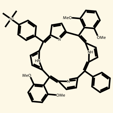 COc1cccc(OC)c1-c1c2nc(c(-c3ccc([N+](C)(C)C)cc3)c3ccc([nH]3)c(-c3c(OC)cccc3OC)c3nc(c(-c4ccccc4)c4ccc1[nH]4)C=C3)C=C2